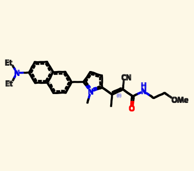 CCN(CC)c1ccc2cc(-c3ccc(/C(C)=C(\C#N)C(=O)NCCOC)n3C)ccc2c1